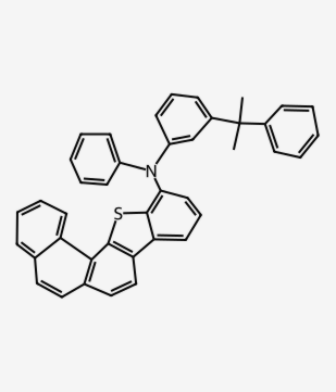 CC(C)(c1ccccc1)c1cccc(N(c2ccccc2)c2cccc3c2sc2c3ccc3ccc4ccccc4c32)c1